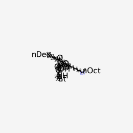 CCCCCCCC/C=C\CCCCCCCC(=O)OC(COC(=O)CCCCCCCCCCCCCCC)COP(=O)(O)OCCNC(C)(C)CC